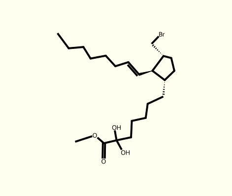 CCCCCC/C=C/[C@@H]1[C@@H](CCCCCC(O)(O)C(=O)OC)CC[C@H]1CBr